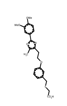 COc1ccc(-c2nc(CCOc3cccc(CSCC(=O)O)c3)c(C)o2)cc1OC